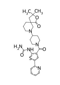 CC1(C)CC2(CCCN(C3CCN(C(=O)c4cc(-c5ccccn5)sc4NC(N)=O)CC3)C2)C(=O)O1